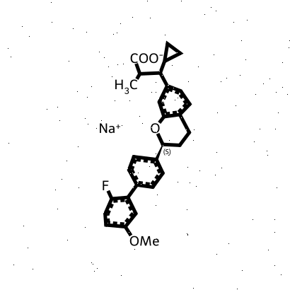 COc1ccc(F)c(-c2ccc([C@@H]3CCc4ccc(C(C5CC5)C(C)C(=O)[O-])cc4O3)cc2)c1.[Na+]